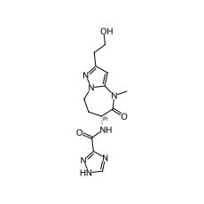 CN1C(=O)[C@H](NC(=O)c2nc[nH]n2)CCn2nc(CCO)cc21